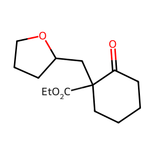 CCOC(=O)C1(CC2CCCO2)CCCCC1=O